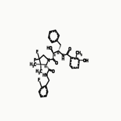 Cc1c(O)cccc1C(=O)N[C@@H](Cc1ccccc1)[C@H](O)C(=O)N1CC(F)(F)C(C)(C)[C@H]1C(=O)NCc1ccccc1F